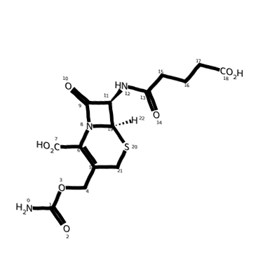 NC(=O)OCC1=C(C(=O)O)N2C(=O)[C@@H](NC(=O)CCCC(=O)O)[C@H]2SC1